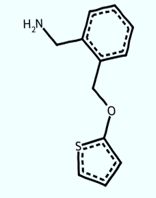 NCc1ccccc1COc1cccs1